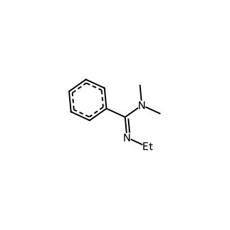 CC/N=C(/c1ccccc1)N(C)C